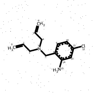 C=CCN(CC=C)Cc1ccc(Cl)cc1N